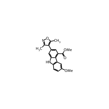 COC(=O)c1cc(-c2c(C)noc2C)cc2[nH]c3ccc(OC)cc3c12